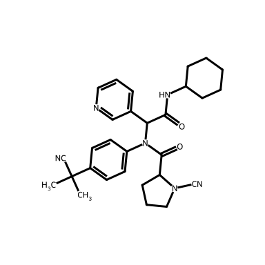 CC(C)(C#N)c1ccc(N(C(=O)C2CCCN2C#N)C(C(=O)NC2CCCCC2)c2cccnc2)cc1